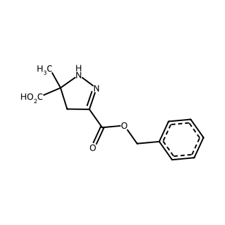 CC1(C(=O)O)CC(C(=O)OCc2ccccc2)=NN1